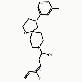 C=C/C(F)=C\CC(O)N1CCC2(CC1)CN(c1cc(C)ccn1)CCO2